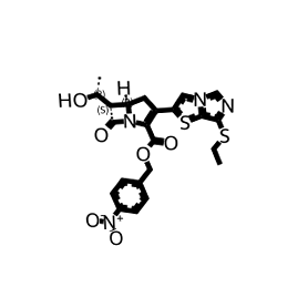 CCSc1ncn2cc(C3=C(C(=O)OCc4ccc([N+](=O)[O-])cc4)N4C(=O)[C@H]([C@@H](C)O)[C@H]4C3)sc12